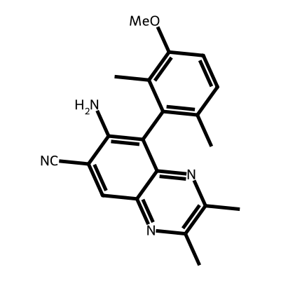 COc1ccc(C)c(-c2c(N)c(C#N)cc3nc(C)c(C)nc23)c1C